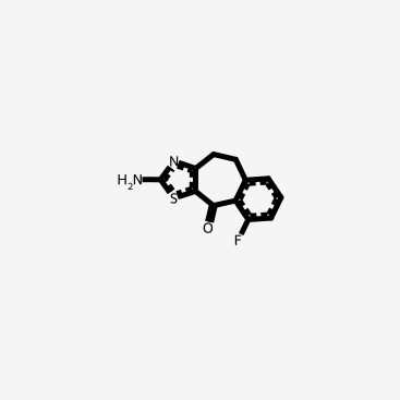 Nc1nc2c(s1)C(=O)c1c(F)cccc1CC2